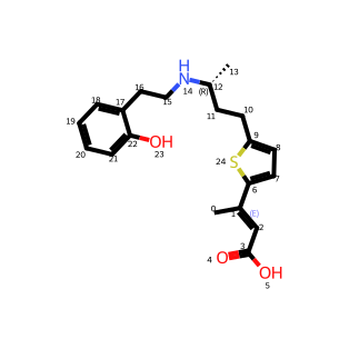 C/C(=C\C(=O)O)c1ccc(CC[C@@H](C)NCCc2ccccc2O)s1